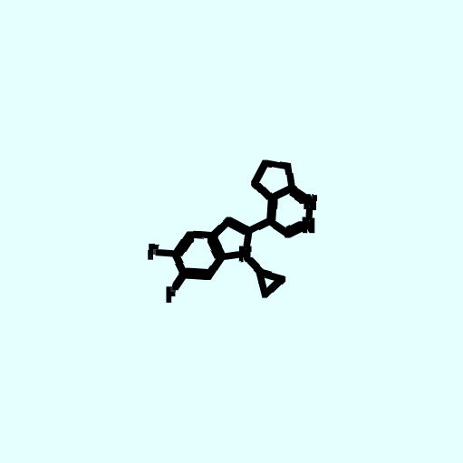 Fc1cc2cc(-c3cnnc4c3CCC4)n(C3CC3)c2cc1F